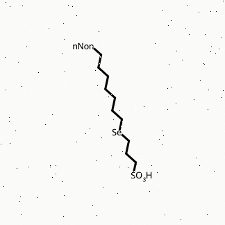 CCCCCCCCCCCCCCCC[Se]CCCS(=O)(=O)O